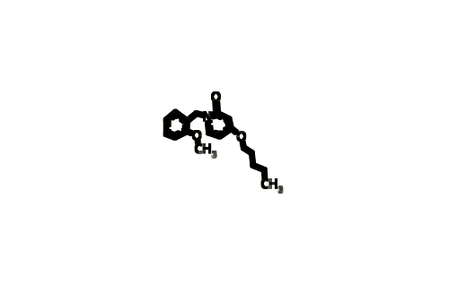 CCCCCOc1ccn(Cc2ccccc2OC)c(=O)c1